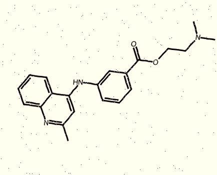 Cc1cc(Nc2cccc(C(=O)OCCN(C)C)c2)c2ccccc2n1